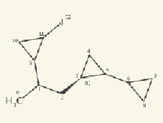 CC(C[C@H]1CC1C1CC1)C1CC1I